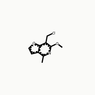 COc1nc(C)c2ccoc2c1CCl